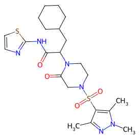 Cc1nn(C)c(C)c1S(=O)(=O)N1CCN(C(CC2CCCCC2)C(=O)Nc2nccs2)C(=O)C1